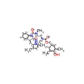 Cc1cc(C)c(/C=C2\C(=O)N(C(=O)N(C)CCN(C)C(=O)OCc3cc(C)c(O)c(C)c3)c3ccccc32)[nH]1